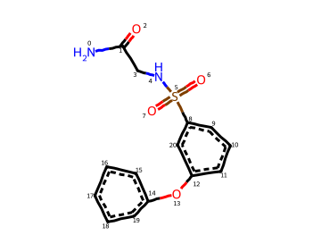 NC(=O)CNS(=O)(=O)c1cccc(Oc2ccccc2)c1